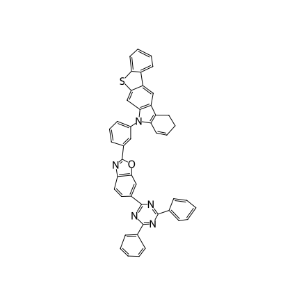 C1=Cc2c(c3cc4c(cc3n2-c2cccc(-c3nc5ccc(-c6nc(-c7ccccc7)nc(-c7ccccc7)n6)cc5o3)c2)sc2ccccc24)CC1